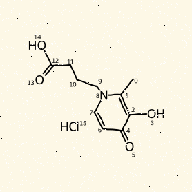 Cc1c(O)c(=O)ccn1CCCC(=O)O.Cl